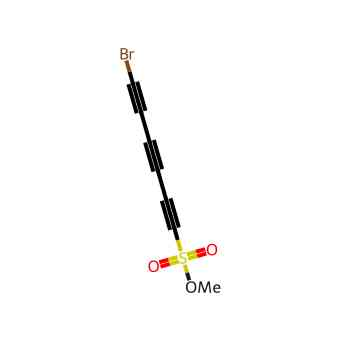 COS(=O)(=O)C#CC#CC#CBr